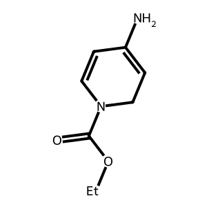 CCOC(=O)N1C=CC(N)=CC1